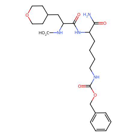 NC(=O)C(CCCCNC(=O)OCc1ccccc1)NC(=O)C(CC1CCOCC1)NC(=O)O